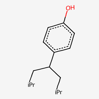 CC(C)CC(CC(C)C)c1ccc(O)cc1